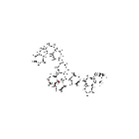 C/C=C\c1c(O)cc(-c2ccc(N(c3ccccc3)C3CCC(c4ccc5ccc6oc7ccccc7c6c5c4)C=C3c3ccccc3)cc2)c2occc12